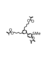 C=C(C)C(=C)Oc1ccc(-c2cc(CCCCOC(=O)C(=C)C)cc(CCCCOC(=O)C(=C)C)c2)cc1SC